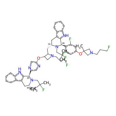 C[C@@H]1Cc2c([nH]c3ccccc23)[C@@H](c2cnc(OC3CN(CCCF)C3C[C@@H]3Cc4c([nH]c5ccccc45)[C@@H](c4c(F)cc(OC5(C)CN(CCCF)C5)cc4F)N3CC(C)(C)F)cn2)N1CC(C)(C)F